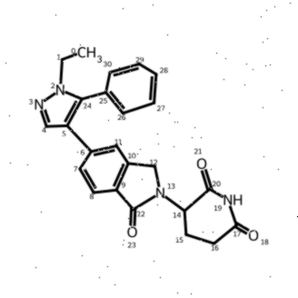 CCn1ncc(-c2ccc3c(c2)CN(C2CCC(=O)NC2=O)C3=O)c1-c1ccccc1